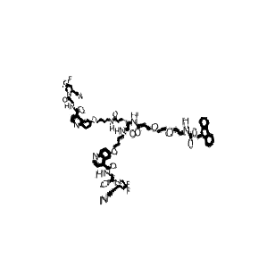 N#CC1CC(F)(F)CN1C(=O)CNC(=O)c1ccnc2ccc(OCCCCNC(=O)CC[C@H](NC(=O)CCOCCOCCNC(=O)OCC3c4ccccc4-c4ccccc43)C(=O)NCCCCOc3ccc4nccc(C(=O)NCC(=O)N5CC(F)(F)CC5C#N)c4c3)cc12